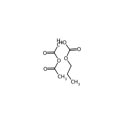 CC(=O)OC(C)=O.CCCOC(=O)O